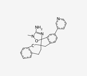 CN1OC2(N=C1N)c1cc(-c3cccnc3)ccc1CC21CCc2ccccc2CC1